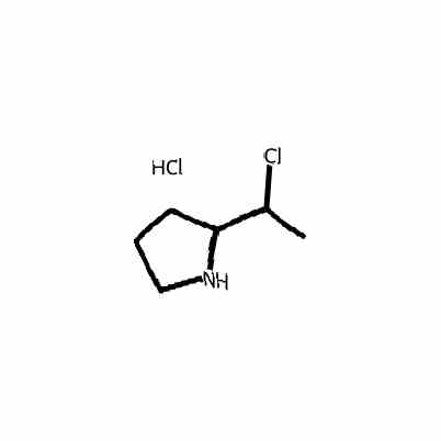 CC(Cl)C1CCCN1.Cl